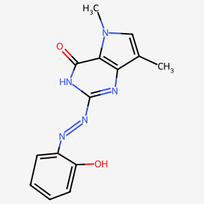 Cc1cn(C)c2c(=O)[nH]c(/N=N/c3ccccc3O)nc12